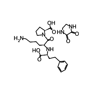 NCCCC[C@H](N[C@@H](CCc1ccccc1)C(=O)O)C(=O)N1CCC[C@H]1C(=O)O.O=C1NCCNC1=O